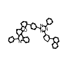 C1=C(c2nc(-c3ccccc3)nc(-c3ccc(-c4cccc5c4oc4c5ccc5c(-c6ccccc6)nc6ccccc6c54)cc3)n2)C=C(c2cccc3ccccc23)CC1